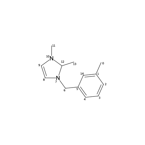 Cc1cccc(CN2C=CN(C)C2C)c1